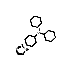 C1CC[CH]([SnH]([CH]2CCCCC2)[CH]2CCCCC2)CC1.c1c[nH]nn1